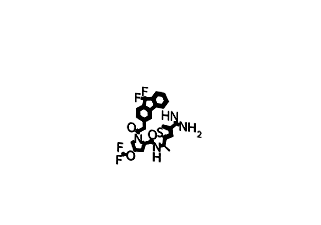 C[C@@H](NC(=O)C1C[C@@H](OC(F)F)CN1C(=O)Cc1ccc2c(c1)-c1ccccc1C2(F)F)c1cc(C(=N)N)cs1